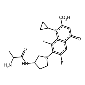 CC(N)C(=O)NC1CCN(c2c(F)cc3c(=O)cc(C(=O)O)n(C4CC4)c3c2F)C1